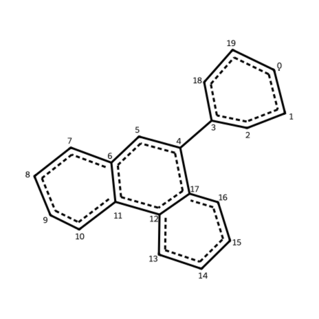 [c]1ccc(-c2cc3ccccc3c3ccccc23)cc1